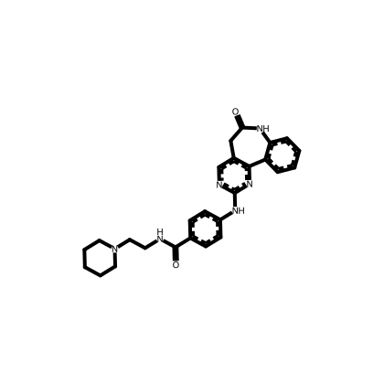 O=C1Cc2cnc(Nc3ccc(C(=O)NCCN4CCCCC4)cc3)nc2-c2ccccc2N1